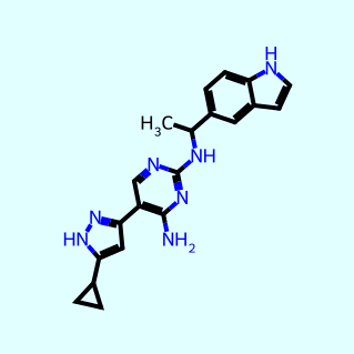 CC(Nc1ncc(-c2cc(C3CC3)[nH]n2)c(N)n1)c1ccc2[nH]ccc2c1